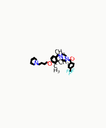 Cc1c(OCCCCN2CC=CCC2)ccc(C(C)N2CCN(C(=O)c3ccc(C(F)(F)F)cc3)CC2)c1C